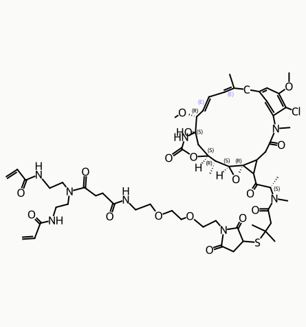 C=CC(=O)NCCN(CCNC(=O)C=C)C(=O)CCC(=O)NCCOCCOCCN1C(=O)CC(SC(C)(C)CC(=O)N(C)[C@@H](C)C(=O)C2C3CC(=O)N(C)c4cc(cc(OC)c4Cl)C/C(C)=C/C=C/[C@@H](OC)[C@@]4(O)C[C@H](OC(=O)N4)[C@@H](C)[C@@H]4O[C@]324)C1=O